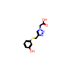 O=C(O)Cn1cc(CSc2cccc(O)c2)nn1